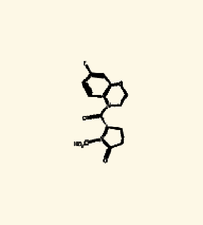 O=C([C@@H]1CCC(=O)N1C(=O)O)N1CCOc2cc(F)ccc21